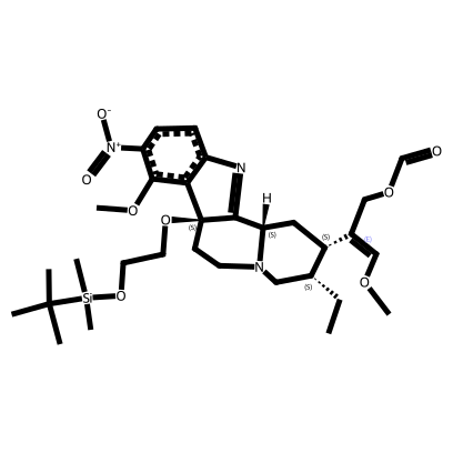 CC[C@@H]1CN2CC[C@@]3(OCCO[Si](C)(C)C(C)(C)C)C(=Nc4ccc([N+](=O)[O-])c(OC)c43)[C@@H]2C[C@@H]1/C(=C\OC)COC=O